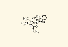 CC[C@@H]1CN2CC[C@@]3(C(=O)Nc4ccccc43)[C@@H]2C[C@@H]1/C(=C\OC)C(=O)OC